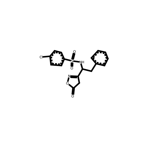 O=C1CC(C(Cc2ccccc2)NS(=O)(=O)c2ccc(Cl)cc2)=NO1